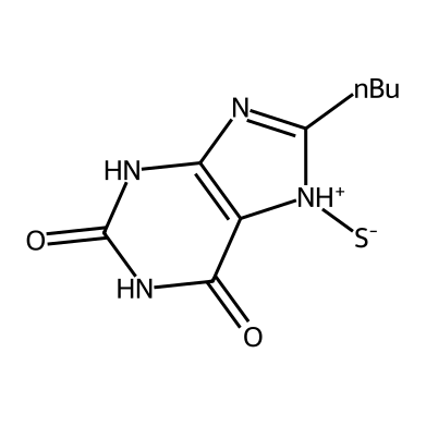 CCCCC1=Nc2[nH]c(=O)[nH]c(=O)c2[NH+]1[S-]